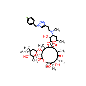 CC[C@H]1OC(=O)[C@H](C)[C@@H](O[C@H]2C[C@@](C)(OC)[C@@H](O)[C@H](C)O2)[C@H](C)[C@@H](O[C@@H]2O[C@H](C)C[C@H](N(C)CCc3cn(Cc4ccc(F)cc4)nn3)[C@H]2O)[C@](C)(O)C[C@@H](C)C(=O)[C@H](C)[C@@H](O)[C@]1(C)O